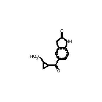 O=C1Cc2cc(C(=O)C3CC3C(=O)O)ccc2N1